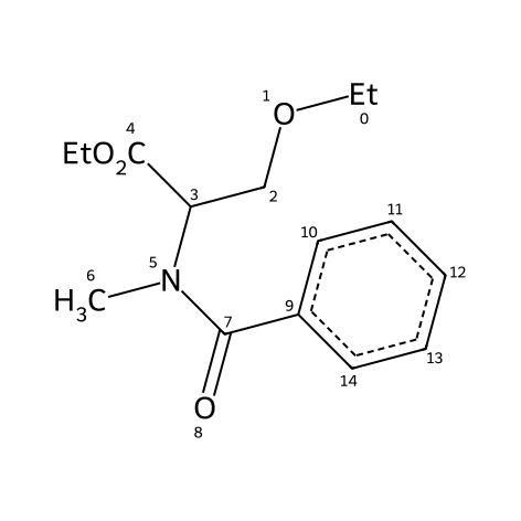 CCOCC(C(=O)OCC)N(C)C(=O)c1ccccc1